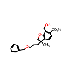 CC1(CCCOCc2ccccc2)COc2c1ccc(C(=O)O)c2CO